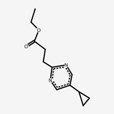 CCOC(=O)CCc1ncc(C2CC2)cn1